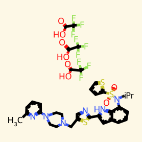 Cc1cccc(N2CCN(Cc3cnc(-c4cc5cccc(N(C(C)C)S(=O)(=O)c6cccs6)c5[nH]4)s3)CC2)n1.O=C(O)C(F)(F)F.O=C(O)C(F)(F)F.O=C(O)C(F)(F)F